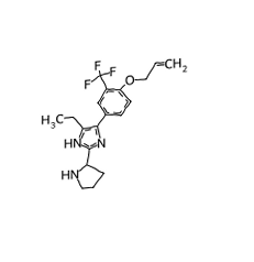 C=CCOc1ccc(-c2nc(C3CCCN3)[nH]c2CC)cc1C(F)(F)F